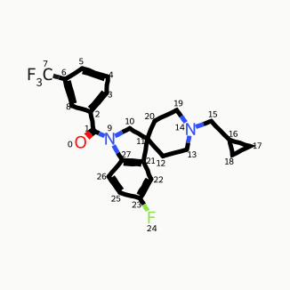 O=C(c1cccc(C(F)(F)F)c1)N1CC2(CCN(CC3CC3)CC2)c2cc(F)ccc21